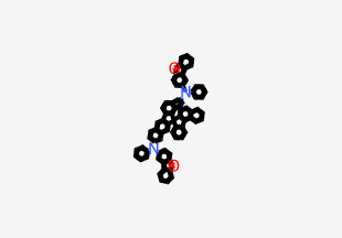 c1ccc(N(c2ccc3cc4c(cc3c2)C2(c3ccccc3-c3c2ccc2ccccc32)c2c-4ccc3cc(N(c4ccccc4)c4ccc5oc6ccccc6c5c4)ccc23)c2ccc3oc4ccccc4c3c2)cc1